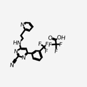 N#Cc1nc(NCCc2ccccn2)cc(-c2cccc(C(F)(F)F)c2)n1.O=C(O)C(F)(F)F